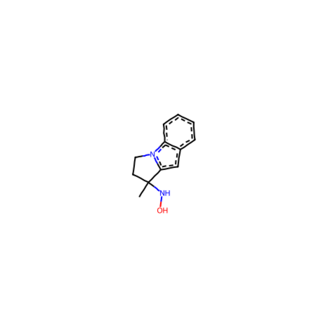 CC1(NO)CCn2c1cc1ccccc12